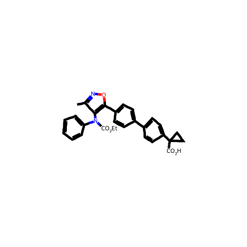 CCOC(=O)N(c1ccccc1)c1c(C)noc1-c1ccc(-c2ccc(C3(C(=O)O)CC3)cc2)cc1